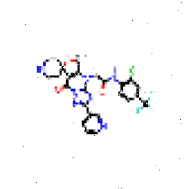 C[C@H]1OC2(CCNCC2)c2c1n(CC(=O)Nc1ccc(C(F)(F)F)cc1Cl)c1nc(-c3cccnc3)nn1c2=O